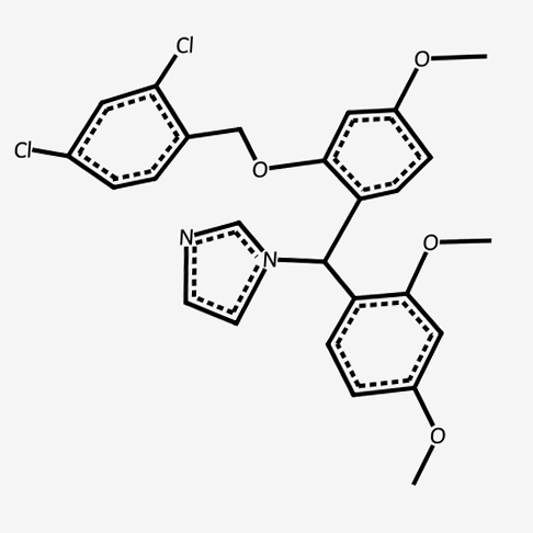 COc1ccc(C(c2ccc(OC)cc2OCc2ccc(Cl)cc2Cl)n2ccnc2)c(OC)c1